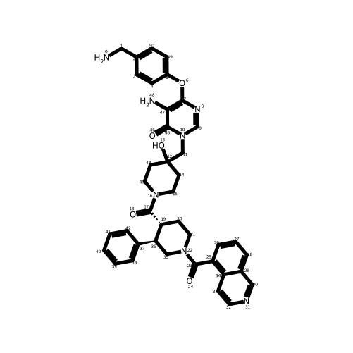 NCc1ccc(Oc2ncn(CC3(O)CCN(C(=O)[C@@H]4CCN(C(=O)c5cccc6cnccc56)C[C@H]4c4ccccc4)CC3)c(=O)c2N)cc1